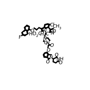 Cc1noc(C)c1-c1c(Cl)ccc2c(CCCOc3cccc4cc(F)ccc34)c(C(=O)O)n(CCN3CCN(C(=O)COc4cccc5c4CN(C4CCC(=O)NC4=O)C5=O)CC3)c12